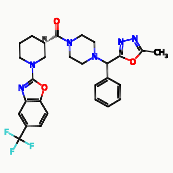 Cc1nnc(C(c2ccccc2)N2CCN(C(=O)[C@H]3CCCN(c4nc5cc(C(F)(F)F)ccc5o4)C3)CC2)o1